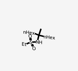 CCCCCCC(C)(CCCCCC)NS(=O)(=O)CC